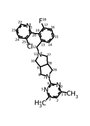 Cc1cc(C)nc(N2CC3CN(Cc4cccc(F)c4-c4ncccc4Cl)CC3C2)n1